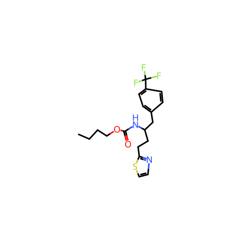 CCCCOC(=O)NC(CCc1nccs1)Cc1ccc(C(F)(F)F)cc1